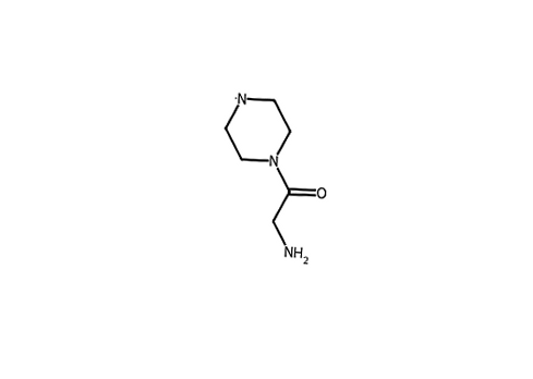 NCC(=O)N1CC[N]CC1